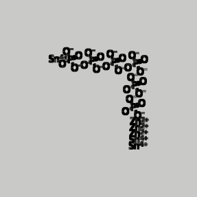 O=P([O-])([O-])[O-].O=P([O-])([O-])[O-].O=P([O-])([O-])[O-].O=P([O-])([O-])[O-].O=P([O-])([O-])[O-].O=P([O-])([O-])[O-].[Sn+4].[Sn+4].[Sn+4].[Zn+2].[Zn+2].[Zn+2]